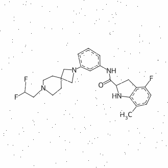 Cc1ccc(F)c2c1NC(C(=O)Nc1cccc(N3CC4(CCN(CC(F)F)CC4)C3)c1)C2